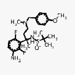 COc1ccc(CN(C)CC[C@](C)(N[S@@+]([O-])C(C)(C)C)c2c(F)ccc(N)c2F)cc1